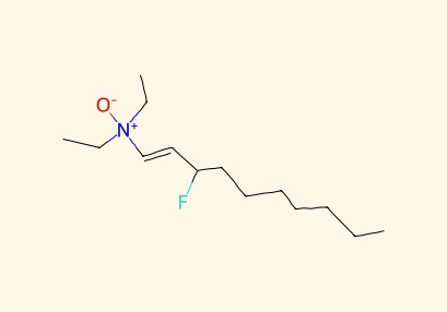 CCCCCCCC(F)C=C[N+]([O-])(CC)CC